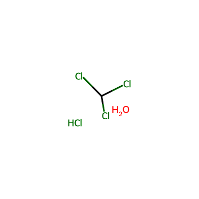 Cl.ClC(Cl)Cl.O